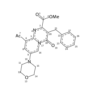 COC(=O)c1nc2c(C(C)=O)cc(N3CCOCC3)cn2c(=O)c1Cc1ccccc1